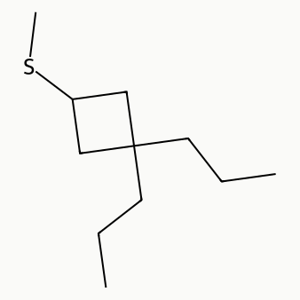 CCCC1(CCC)CC(SC)C1